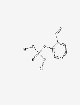 C=Cc1ccccc1OP(=O)(OCC)OCC